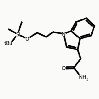 CC(C)(C)[Si](C)(C)OCCCn1cc(CC(N)=O)c2ccccc21